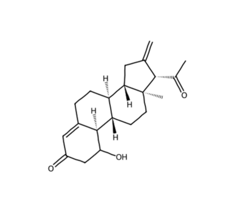 C=C1C[C@H]2[C@@H]3CCC4=CC(=O)CC(O)[C@@H]4[C@H]3CC[C@]2(C)[C@H]1C(C)=O